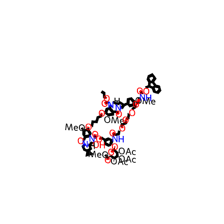 C=CCOC(=O)N1C[C@@H]2CC(c3ccc(OC)cc3)=CN2C(=O)c2cc(OC)c(OCCCCCOc3cc4c(cc3OC)C(=O)N3CCC5(CC5)C[C@H]3[C@H](O)N4C(=O)OCc3ccc(O[C@@H]4O[C@H](C(=O)OC)[C@@H](OC(C)=O)[C@H](OC(C)=O)[C@H]4OC(C)=O)c(NC(=O)CCOCCOCCOCCOCCNC(=O)OCC4c5ccccc5-c5ccccc54)c3)cc21